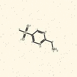 CS(=O)(=O)c1cnc(CN)nc1